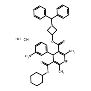 CC1=C(C(=O)OC2CCCCC2)C(c2cccc([N+](=O)[O-])c2)C(C(=O)OC2CN(C(c3ccccc3)c3ccccc3)C2)=C(N)N1.Cl.Cl